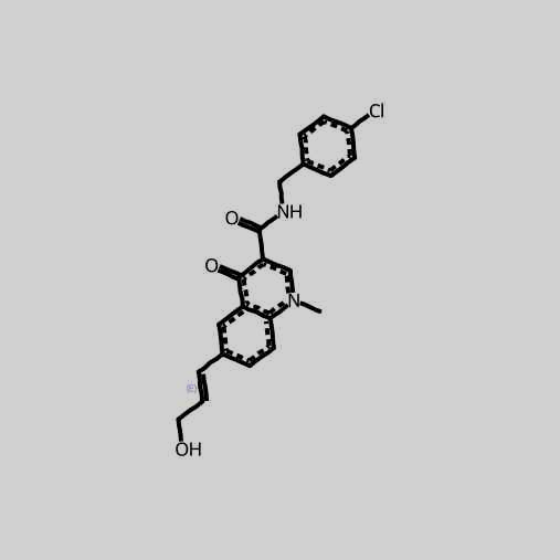 Cn1cc(C(=O)NCc2ccc(Cl)cc2)c(=O)c2cc(/C=C/CO)ccc21